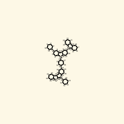 c1ccc(-c2ccc3c(c2)c2cc(-n4c5ccccc5c5ccccc54)ccc2n3-c2ccc(-c3ccc4c(c3)c3c5ccccc5oc3n4-c3ccccc3)cc2)cc1